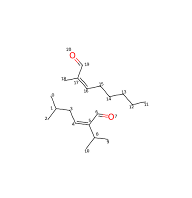 CC(C)CC=C(C=O)C(C)C.CCCCCC=C(C)C=O